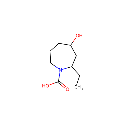 CCC1CC(O)CCCN1C(=O)O